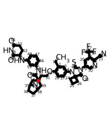 CCc1cc(N2C(=S)N(c3cnc(C#N)c(C(F)(F)F)c3)C(=O)C23CCC3)ccc1OCCC1CC2CCC(C1)N2CC(=O)Nc1cccc(NC2CCC(=O)NC2=O)c1